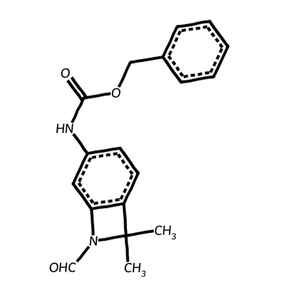 CC1(C)c2ccc(NC(=O)OCc3ccccc3)cc2N1C=O